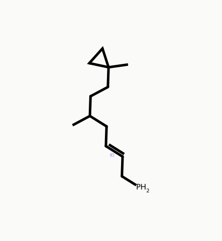 CC(C/C=C/CP)CCC1(C)CC1